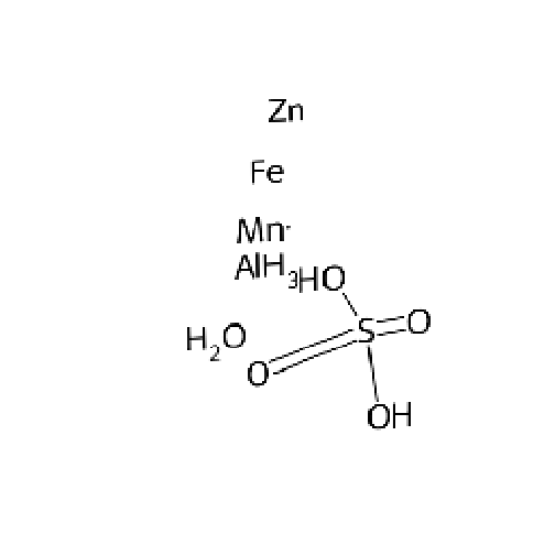 O.O=S(=O)(O)O.[AlH3].[Fe].[Mn].[Zn]